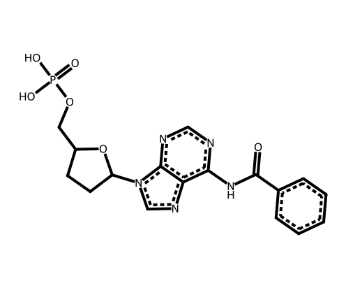 O=C(Nc1ncnc2c1ncn2C1CCC(COP(=O)(O)O)O1)c1ccccc1